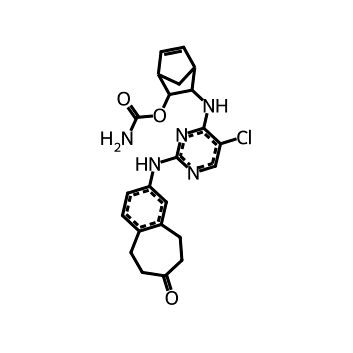 NC(=O)OC1C2C=CC(C2)C1Nc1nc(Nc2ccc3c(c2)CCC(=O)CC3)ncc1Cl